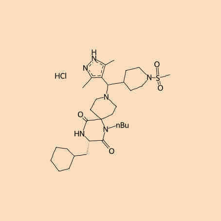 CCCCN1C(=O)[C@H](CC2CCCCC2)NC(=O)C12CCN(C(c1c(C)n[nH]c1C)C1CCN(S(C)(=O)=O)CC1)CC2.Cl